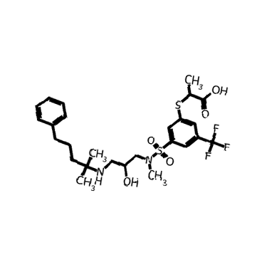 CC(Sc1cc(C(F)(F)F)cc(S(=O)(=O)N(C)CC(O)CNC(C)(C)CCCc2ccccc2)c1)C(=O)O